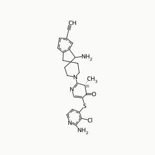 C#Cc1ccc2c(c1)C(N)C1(CCN(C3=NC=C(Sc4ccnc(N)c4Cl)C(=O)[C@H]3C)CC1)C2